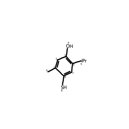 Cc1cc(O)c(C(C)C)cc1S